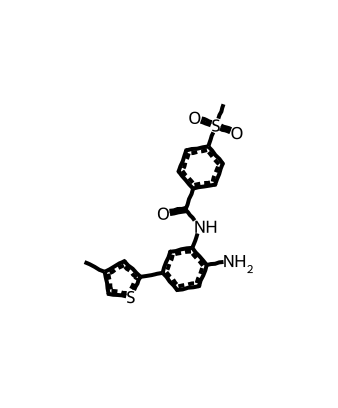 Cc1csc(-c2ccc(N)c(NC(=O)c3ccc(S(C)(=O)=O)cc3)c2)c1